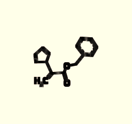 C=C(C(=O)OCc1ccccc1)C1C=CC=C1